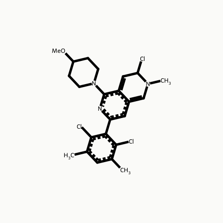 COC1CCN(c2nc(-c3c(Cl)c(C)cc(C)c3Cl)cc3c2=CC(Cl)N(C)C=3)CC1